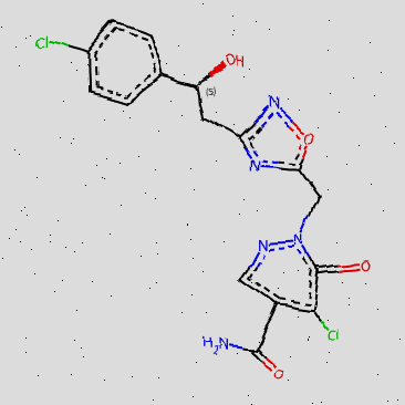 NC(=O)c1cnn(Cc2nc(C[C@H](O)c3ccc(Cl)cc3)no2)c(=O)c1Cl